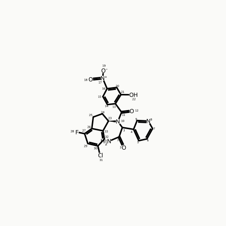 NC(=O)C(c1cccnc1)N(C(=O)c1ccc([N+](=O)[O-])cc1O)[C@@H]1CCc2c(F)cc(Cl)cc21